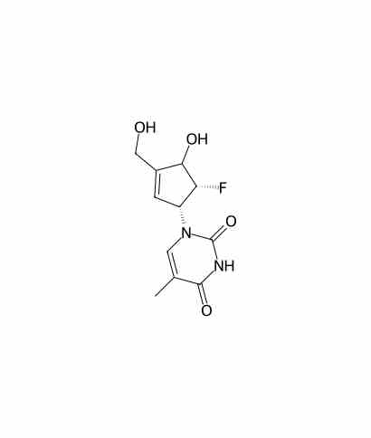 Cc1cn([C@@H]2C=C(CO)C(O)[C@@H]2F)c(=O)[nH]c1=O